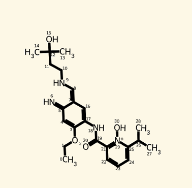 CCOC1=CC(=N)/C(=C\NCCC(C)(C)O)C=C1NC(=O)c1cccc(C(C)C)[n+]1O